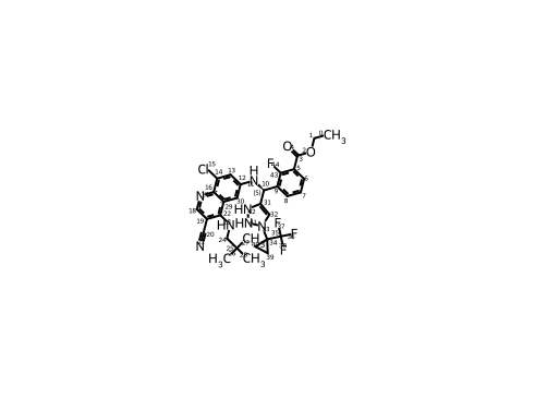 CCOC(=O)c1cccc([C@H](Nc2cc(Cl)c3ncc(C#N)c(NCC(C)(C)C)c3c2)C2=CN(C3(C(F)(F)F)CC3)NN2)c1F